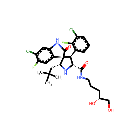 CC(C)(C)C[C@H]1N[C@@H](C(=O)NCCC[C@@H](O)CO)[C@H](c2cccc(Cl)c2F)[C@@]12C(=O)Nc1cc(Cl)c(F)cc12